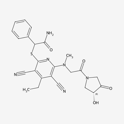 CCc1c(C#N)c(SC(C(N)=O)c2ccccc2)nc(N(C)CC(=O)N2CC(=O)[C@H](O)C2)c1C#N